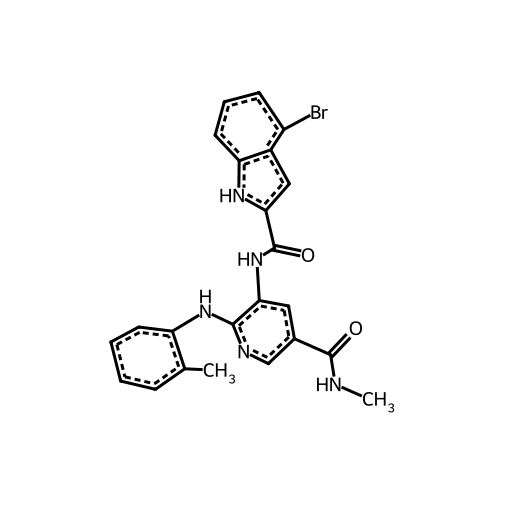 CNC(=O)c1cnc(Nc2ccccc2C)c(NC(=O)c2cc3c(Br)cccc3[nH]2)c1